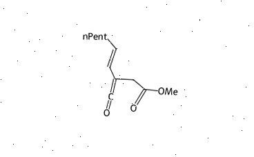 CCCCCC=CC(=C=O)CC(=O)OC